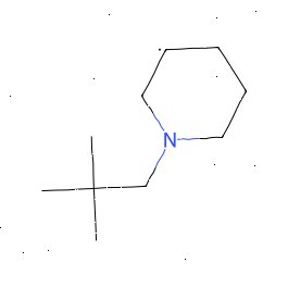 CC(C)(C)CN1C[CH]CCC1